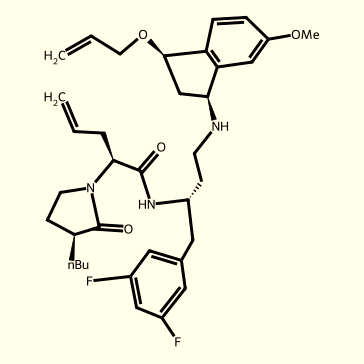 C=CCO[C@@H]1C[C@H](NCC[C@H](Cc2cc(F)cc(F)c2)NC(=O)[C@H](CC=C)N2CC[C@H](CCCC)C2=O)c2cc(OC)ccc21